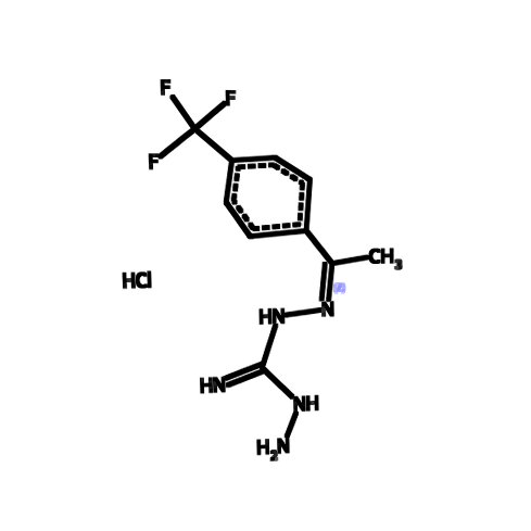 C/C(=N/NC(=N)NN)c1ccc(C(F)(F)F)cc1.Cl